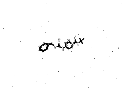 CC(C)(C)OC(=O)N1CC=C(NC(=O)OCc2ccccc2)CC1